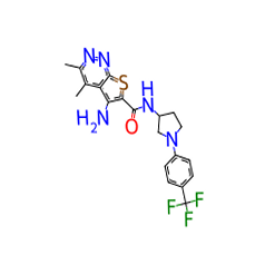 Cc1nnc2sc(C(=O)NC3CCN(c4ccc(C(F)(F)F)cc4)C3)c(N)c2c1C